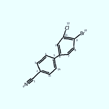 N#Cc1ccc(-c2ccc(Br)c(Cl)c2)cc1